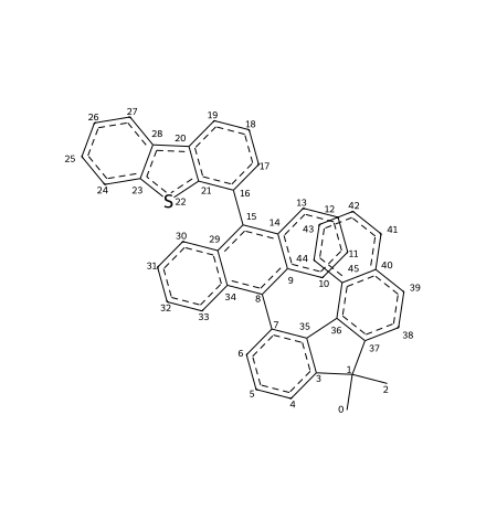 CC1(C)c2cccc(-c3c4ccccc4c(-c4cccc5c4sc4ccccc45)c4ccccc34)c2-c2c1ccc1ccccc21